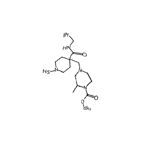 CC(C)CNC(=O)C1(CN2CCN(C(=O)OC(C)(C)C)C(C)C2)CCN(S)CC1